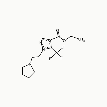 CCOC(=O)c1cnn(CCN2CCCC2)c1C(F)(F)F